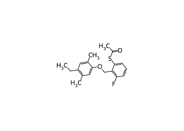 CCc1cc(C)c(OCc2c(F)cccc2SC(C)=O)cc1C